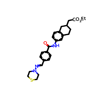 CCOC(=O)CC1CCc2cc(NC(=O)c3ccc(C=NN4CCSCC4)cc3)ccc2C1